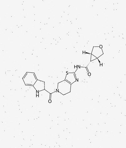 O=C(Nc1nc2c(s1)CN(C(=O)C1Cc3ccccc3N1)CC2)[C@@H]1[C@@H]2COC[C@@H]21